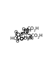 COc1ccc2c(c1)C1(C)C(=C(O)C2=O)C(C)(C)C(=O)CC1SCC(NC(=O)CCC(N)C(=O)O)C(=O)NCC(=O)O